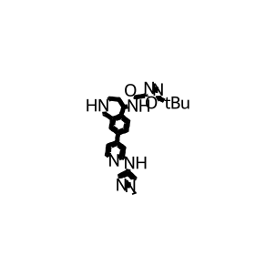 Cn1cc(Nc2cc(-c3ccc4c(c3)CNCCC4NC(=O)c3nnc(C(C)(C)C)o3)ccn2)cn1